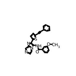 COc1cccc(C(=O)Nc2c(-c3ccc(C#Cc4ccccc4)s3)nc3cnccn23)c1